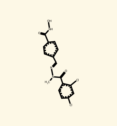 CN(N=Cc1ccc(C(=O)NO)cc1)C(=O)c1ccc(Cl)cc1Cl